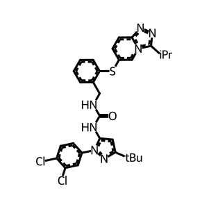 CC(C)c1nnc2ccc(Sc3ccccc3CNC(=O)Nc3cc(C(C)(C)C)nn3-c3ccc(Cl)c(Cl)c3)cn12